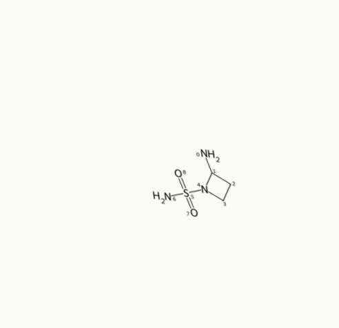 NC1CCN1S(N)(=O)=O